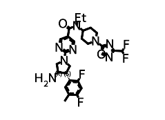 CCN(C(=O)c1cnc(N2C[C@H](c3cc(C)c(F)cc3F)[C@@H](N)C2)nc1)C1CCN(c2nc(C(F)F)no2)CC1